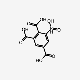 O=C(O)c1cc(C(=O)O)c(C(=O)O)c([PH](=O)O)c1